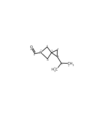 CC(C)C1CC12CN(C=O)C2